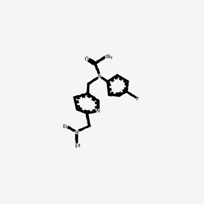 CCN(CC)Cc1ccc(CN(C(=O)C(C)(C)C)c2ccc(F)cc2)cn1